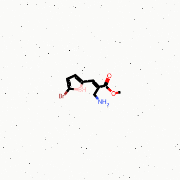 COC(=O)/C(=C/C1=CC=C(Br)B1)CN